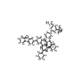 Cc1cc(-c2ccc3c(c2)c2ccccc2n3-c2ccc(-c3ccc4c(c3)oc3ccccc34)cc2-c2nc(-c3ccccc3)nc(-c3ccccc3)n2)cc(C(F)(F)F)c1